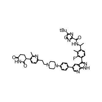 Cc1nc(CCN2CCN(c3ccc(-c4cnc5[nH]nc(-c6ccc(C(C)NC(=O)c7noc(C(C)(C)C)n7)c(C)c6F)c5c4)cc3)CC2)ccc1C1CCC(=O)NC1=O